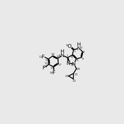 O=c1[nH]ccc2c1c(Nc1cc(F)c(F)c(F)c1)nn2CC1CC1